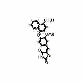 COc1cc(/C=C2/OC(=O)NC2=O)ccc1Oc1ccc(C(=O)O)c2ccccc12